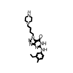 CCc1cc(Nc2nc3nnn(CCCCN4CCNCC4)c3c(=O)[nH]2)ccc1C